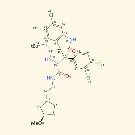 CO[C@@H]1CC[C@@H](CCNC(=O)[C@@H]2N[C@H](CC(C)(C)C)[C@]3(C(=O)Nc4cc(Cl)c(F)cc43)[C@H]2c2ccc(F)c(Cl)c2)C1